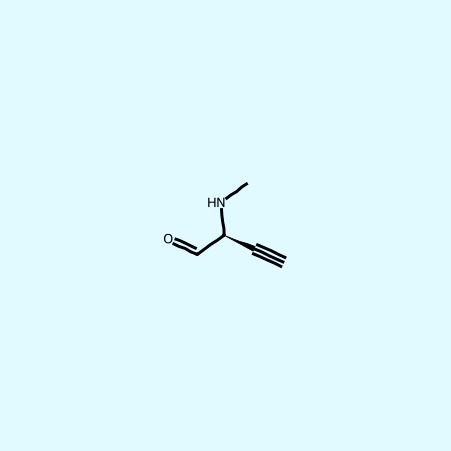 C#C[C@@H](C=O)NC